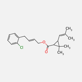 CC(C)=CC1C(C(=O)OCC=CCc2ccccc2Cl)C1(C)C